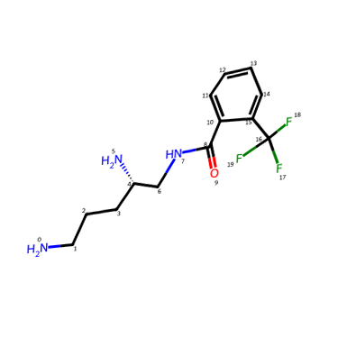 NCCC[C@H](N)CNC(=O)c1ccccc1C(F)(F)F